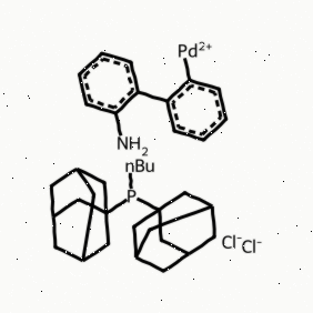 CCCCP(C12CC3CC(CC(C3)C1)C2)C12CC3CC(CC(C3)C1)C2.Nc1ccccc1-c1cccc[c]1[Pd+2].[Cl-].[Cl-]